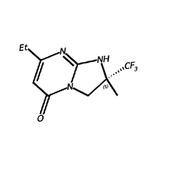 CCc1cc(=O)n2c(n1)N[C@](C)(C(F)(F)F)C2